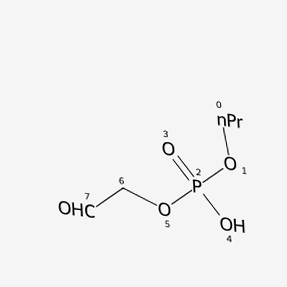 CCCOP(=O)(O)OCC=O